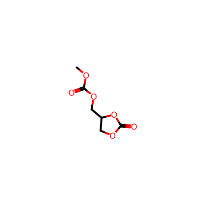 COC(=O)OCC1COC(=O)O1